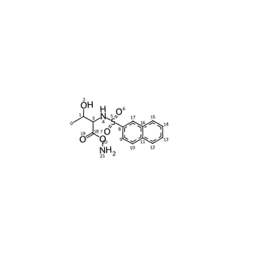 CC(O)C(NS(=O)(=O)c1ccc2ccccc2c1)C(=O)ON